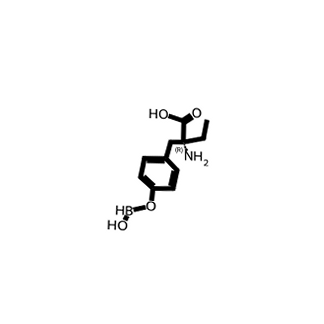 CC[C@@](N)(Cc1ccc(OBO)cc1)C(=O)O